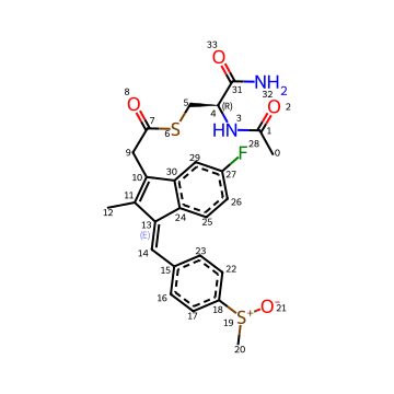 CC(=O)N[C@@H](CSC(=O)CC1=C(C)/C(=C/c2ccc([S+](C)[O-])cc2)c2ccc(F)cc21)C(N)=O